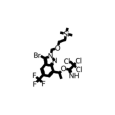 CC(OC(=N)C(Cl)(Cl)Cl)c1cc(C(F)(F)F)cc2c(Br)n(COCC[Si](C)(C)C)nc12